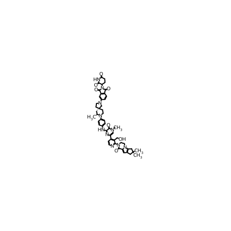 C[C@H]1C[C@@]2(CCN(c3ccc4c(c3)C(=O)N(C3CCC(=O)NC3=O)C4=O)C2)CCN1c1ccc(Nc2nc(-c3ccnc(N4CCn5c(cc6c5CC(C)(C)C6)C4=O)c3CO)cn(C)c2=O)cc1